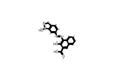 O=C(O)c1cc2ccccc2c(/N=N/c2ccc3c(c2)B(O)OC3)c1O